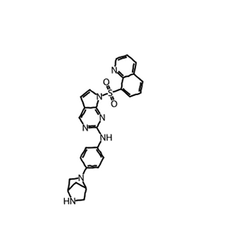 O=S(=O)(c1cccc2cccnc12)n1ccc2cnc(Nc3ccc(N4CC5CC4CN5)cc3)nc21